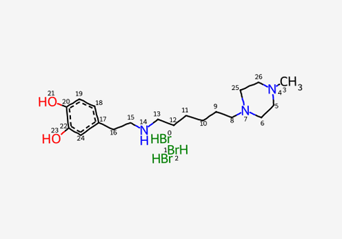 Br.Br.Br.CN1CCN(CCCCCCNCCc2ccc(O)c(O)c2)CC1